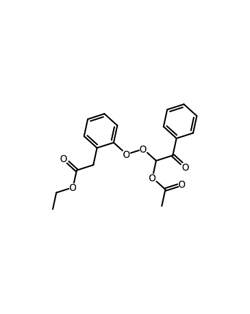 CCOC(=O)Cc1ccccc1OOC(OC(C)=O)C(=O)c1ccccc1